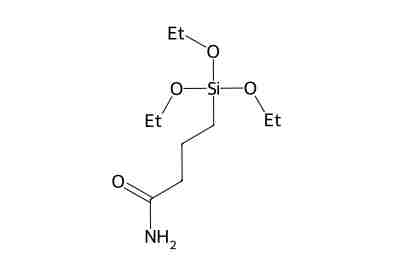 CCO[Si](CCCC(N)=O)(OCC)OCC